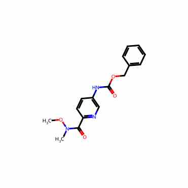 CON(C)C(=O)c1ccc(NC(=O)OCc2ccccc2)cn1